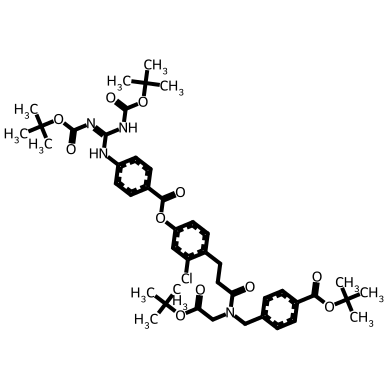 CC(C)(C)OC(=O)CN(Cc1ccc(C(=O)OC(C)(C)C)cc1)C(=O)CCc1ccc(OC(=O)c2ccc(N/C(=N\C(=O)OC(C)(C)C)NC(=O)OC(C)(C)C)cc2)cc1Cl